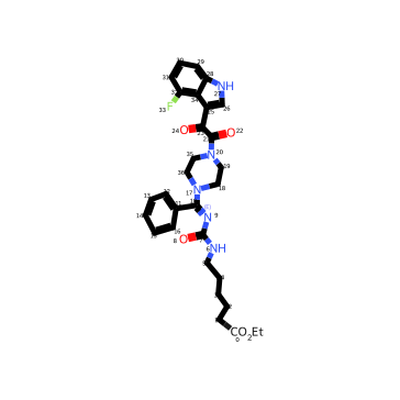 CCOC(=O)CCCCCNC(=O)/N=C(\c1ccccc1)N1CCN(C(=O)C(=O)c2c[nH]c3cccc(F)c23)CC1